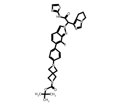 CC(C)(C)OC(=O)N1CC2(C1)CN(c1ccc(-c3ccc4cn(C(C(=O)Nc5nccs5)c5ncn6c5CCC6)nc4c3F)cc1)C2